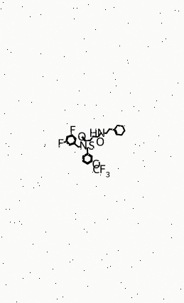 O=C(CC1SC(c2cccc(OC(F)(F)F)c2)N(Cc2cc(F)cc(F)c2)C1=O)NCCC1=CCCCC1